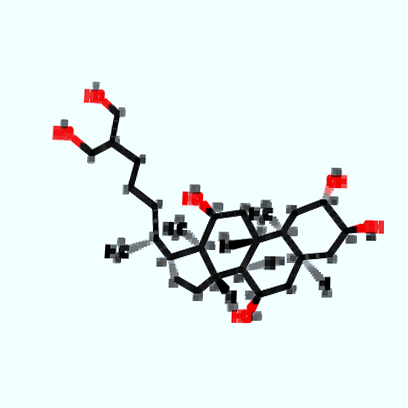 C[C@H](CCCC(CO)CO)[C@H]1CC[C@H]2[C@@H]3[C@H](O)C[C@@H]4C[C@H](O)[C@@H](O)C[C@]4(C)[C@H]3C[C@H](O)[C@]12C